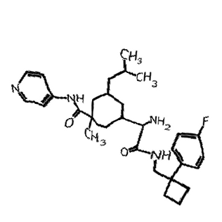 CC(C)CC1CC(C(N)C(=O)NCC2(c3ccc(F)cc3)CCC2)CC(C)(C(=O)Nc2ccncc2)C1